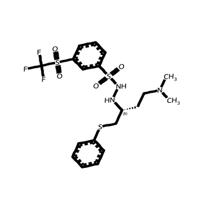 CN(C)CC[C@H](CSc1ccccc1)NNS(=O)(=O)c1cccc(S(=O)(=O)C(F)(F)F)c1